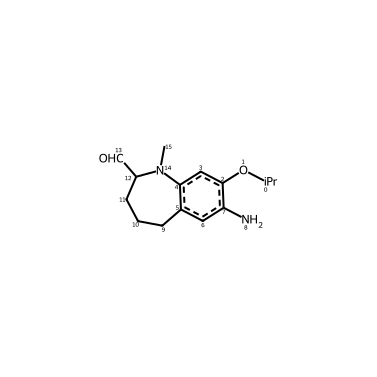 CC(C)Oc1cc2c(cc1N)CCCC(C=O)N2C